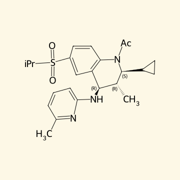 CC(=O)N1c2ccc(S(=O)(=O)C(C)C)cc2[C@H](Nc2cccc(C)n2)[C@@H](C)[C@@H]1C1CC1